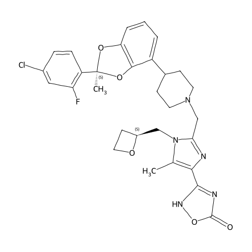 Cc1c(-c2nc(=O)o[nH]2)nc(CN2CCC(c3cccc4c3O[C@@](C)(c3ccc(Cl)cc3F)O4)CC2)n1C[C@@H]1CCO1